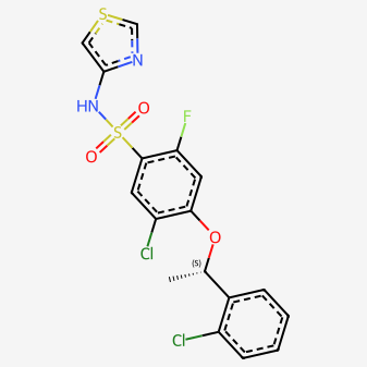 C[C@H](Oc1cc(F)c(S(=O)(=O)Nc2cscn2)cc1Cl)c1ccccc1Cl